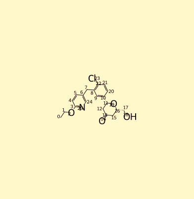 CCOc1ccc(Cc2cc([C@H]3CC(=O)C[C@@H](CO)O3)ccc2Cl)cn1